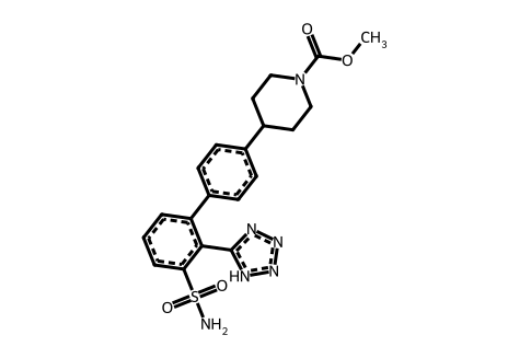 COC(=O)N1CCC(c2ccc(-c3cccc(S(N)(=O)=O)c3-c3nnn[nH]3)cc2)CC1